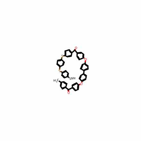 CSc1ccc(Sc2ccc(Sc3ccc(C(=O)c4ccc(Oc5ccc(-c6ccc(Oc7ccc(C(=O)c8ccc(C)cc8)cc7)cc6)cc5)cc4)cc3)cc2)cc1